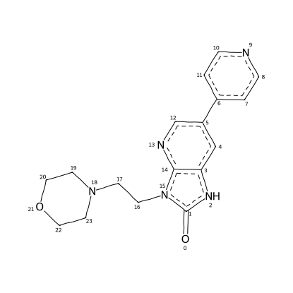 O=c1[nH]c2cc(-c3ccncc3)cnc2n1CCN1CCOCC1